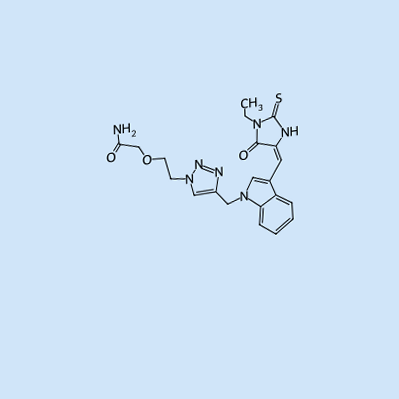 CCN1C(=O)C(=Cc2cn(Cc3cn(CCOCC(N)=O)nn3)c3ccccc23)NC1=S